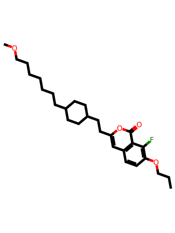 CCCOc1ccc2cc(CCC3CCC(CCCCCCCOC)CC3)oc(=O)c2c1F